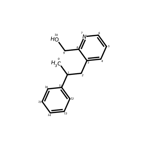 CC(Cc1cccnc1CO)c1ccccc1